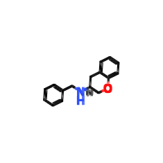 c1ccc(CN[C@@H]2COc3ccccc3C2)cc1